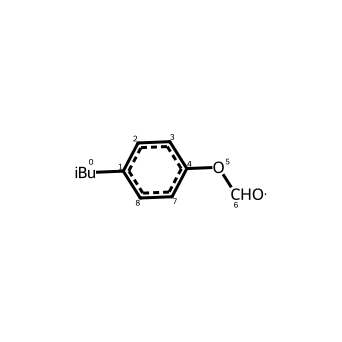 CCC(C)c1ccc(O[C]=O)cc1